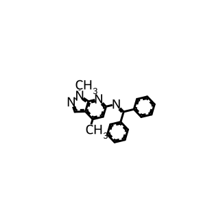 Cc1cc(N=C(c2ccccc2)c2ccccc2)nc2c1cnn2C